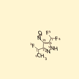 CC(F)c1n[nH]c(C(F)F)c1N=O